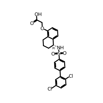 O=C(O)COc1cccc2c1CCC[C@H]2NS(=O)(=O)c1ccc(-c2cc(Cl)ccc2Cl)cc1